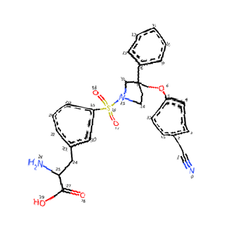 N#Cc1ccc(OC2(c3ccccc3)CN(S(=O)(=O)c3cccc(CC(N)C(=O)O)c3)C2)cc1